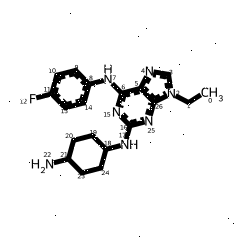 CCn1cnc2c(Nc3ccc(F)cc3)nc(NC3CCC(N)CC3)nc21